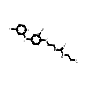 O=C(NCCOc1ccc(Oc2cccc(Cl)c2)cc1Cl)OCCBr